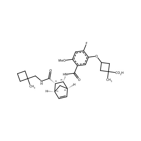 COc1cc(F)c(OC2CC(C)(C(=O)O)C2)cc1C(=O)N[C@H]1[C@@H](C(=O)NCC2(C)CCC2)[C@@H]2C=C[C@H]1C2